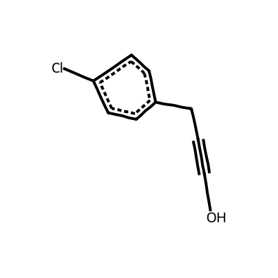 OC#CCc1ccc(Cl)cc1